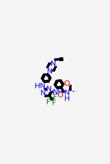 C#CCN1CCN(c2ccc(Nc3ncc(C(F)(F)F)c(Nc4cccc5c4C(=O)N[C@@H](C)CO5)n3)cc2)CC1